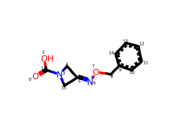 O=C(O)N1CC(=NOCc2ccccc2)C1